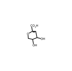 O=C(O)C1=CC(O)C(O)CO1